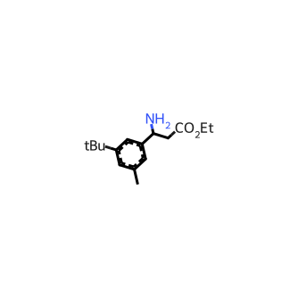 CCOC(=O)CC(N)c1cc(C)cc(C(C)(C)C)c1